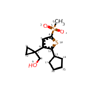 CS(=O)(=O)c1cc(C2(CO)CC2)c(C2CCCC2)s1